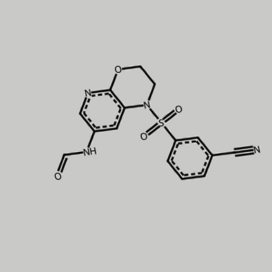 N#Cc1cccc(S(=O)(=O)N2CCOc3ncc(NC=O)cc32)c1